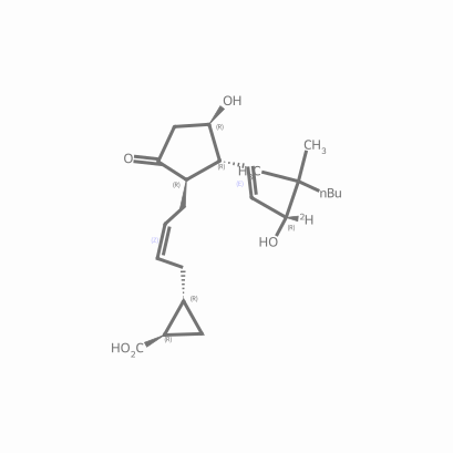 [2H][C@@](O)(/C=C/[C@H]1[C@H](O)CC(=O)[C@@H]1C/C=C\C[C@@H]1C[C@H]1C(=O)O)C(C)(C)CCCC